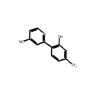 N#Cc1ccnc(-c2ccc(C(F)(F)F)cc2O)c1